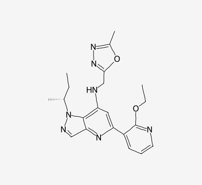 CCOc1ncccc1-c1cc(NCc2nnc(C)o2)c2c(cnn2[C@H](C)CC)n1